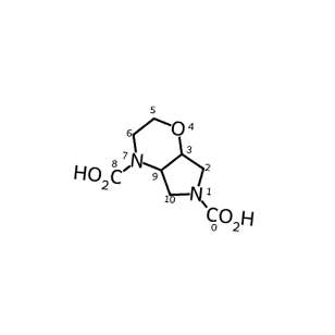 O=C(O)N1CC2OCCN(C(=O)O)C2C1